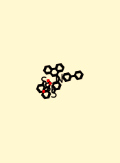 c1ccc(-c2ccc(N(c3ccc4c(c3)[Si]3(c5ccccc5Sc5ccccc53)c3ccccc3S4)c3cc4ccccc4c4ccccc34)cc2)cc1